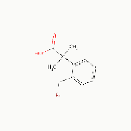 CC(C)(C(=O)O)c1ccccc1CBr